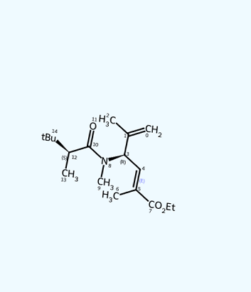 C=C(C)[C@@H](/C=C(\C)C(=O)OCC)N(C)C(=O)[C@@H](C)C(C)(C)C